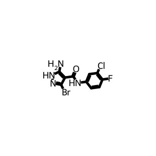 Nc1[nH]nc(Br)c1C(=O)Nc1ccc(F)c(Cl)c1